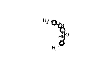 Cc1ccc(CNC(=O)N2CCC3(CC2)CC(c2ccc(C)cc2)=NO3)cc1